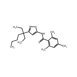 CCCCC(CC)(CC)c1cc(NC(=S)c2c(C)cc(C)cc2C)on1